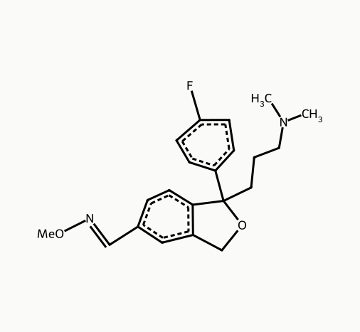 CON=Cc1ccc2c(c1)COC2(CCCN(C)C)c1ccc(F)cc1